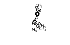 COCS(=O)(=O)c1ccc(OC/C(=C/F)CNC(=O)OC(C)(C)C)cc1